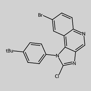 CC(C)(C)c1ccc(-n2c(Cl)nc3cnc4ccc(Br)cc4c32)cc1